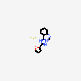 S.[c]1nc2ccccc2c2nc(-c3ccco3)nn12